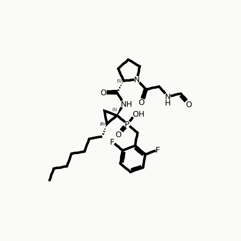 CCCCCCC[C@@H]1C[C@]1(NC(=O)[C@@H]1CCCN1C(=O)CNC=O)P(=O)(O)Cc1c(F)cccc1F